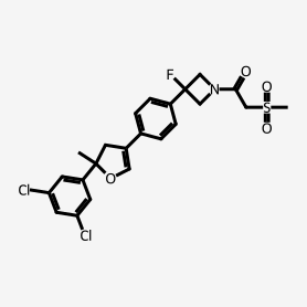 CC1(c2cc(Cl)cc(Cl)c2)CC(c2ccc(C3(F)CN(C(=O)CS(C)(=O)=O)C3)cc2)=CO1